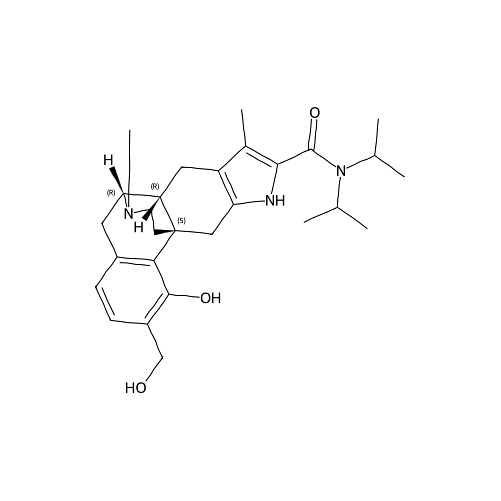 Cc1c(C(=O)N(C(C)C)C(C)C)[nH]c2c1C[C@H]1[C@H]3Cc4ccc(CO)c(O)c4[C@@]1(CCN3C)C2